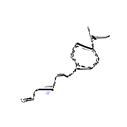 CN(C)c1ccc(C=C/C=C/C=O)cc1